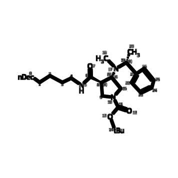 CCCCCCCCCCCCCCNC(=O)[C@@H]1CN(C(=O)OC(C)(C)C)C[C@H]1N(C)[C@H](C)c1ccccc1